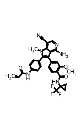 C=CC(=O)Nc1ccc(-c2c(-c3ccc(C(=O)NC4(C(F)(F)F)CC4)c(OC)c3)c3c(N)ncc(C#N)c3n2C)cc1